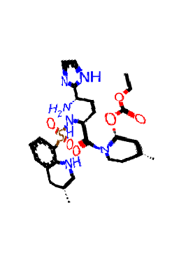 CCOC(=O)O[C@@H]1C[C@H](C)CCN1C(=O)[C@H](CC[C@H](N)c1ncc[nH]1)NS(=O)(=O)c1cccc2c1NC[C@H](C)C2